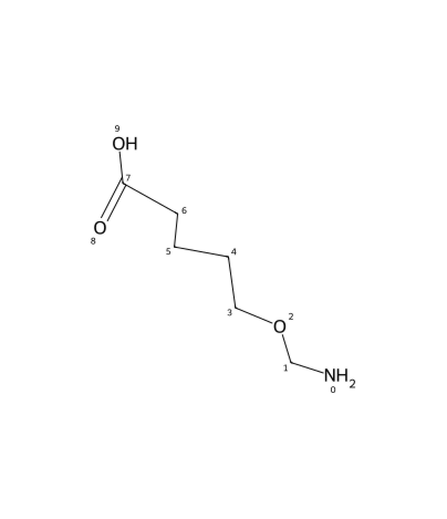 NCOCCCCC(=O)O